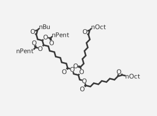 CCCCCCCCC1OC1CCCCCCCC(=O)OCC(COC(=O)CCCCCCCC(OC(=O)CCCCC)C(CC1OC1CCCC)OC(=O)CCCCC)OC(=O)CCCCCCCC1OC1CCCCCCCC